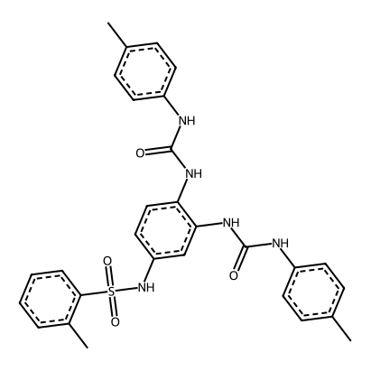 Cc1ccc(NC(=O)Nc2ccc(NS(=O)(=O)c3ccccc3C)cc2NC(=O)Nc2ccc(C)cc2)cc1